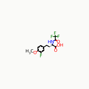 COc1ccc(CC[C@H](NC(=O)C(F)(F)F)C(=O)O)cc1F